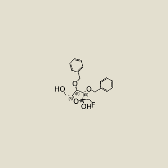 OC[C@H]1O[C@@](O)(CF)[C@@H](OCc2ccccc2)[C@@H]1OCc1ccccc1